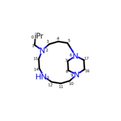 CC(C)CN1CCCN2CCN(CCCNCC1)CC2